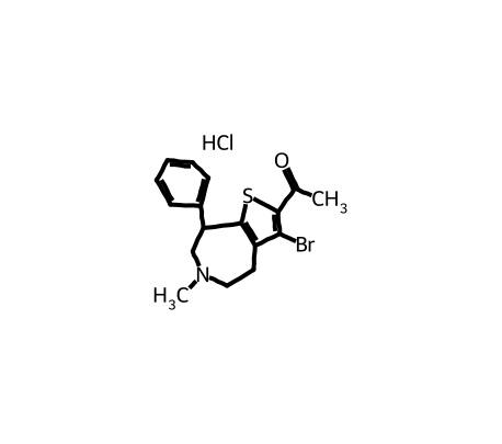 CC(=O)c1sc2c(c1Br)CCN(C)CC2c1ccccc1.Cl